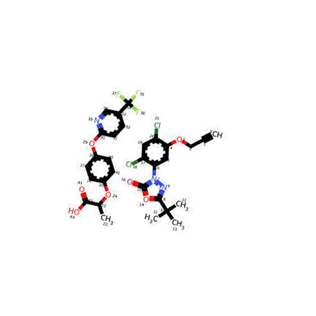 C#CCOc1cc(-n2nc(C(C)(C)C)oc2=O)c(Cl)cc1Cl.CC(Oc1ccc(Oc2ccc(C(F)(F)F)cn2)cc1)C(=O)O